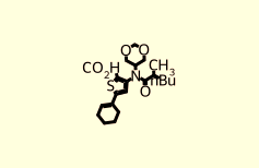 CCCCC(C)C(=O)N(c1cc(C2=CCCCC2)sc1C(=O)O)C1COCOC1